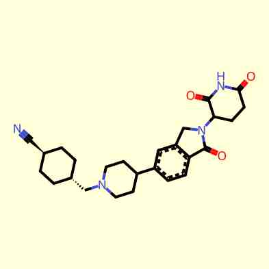 N#C[C@H]1CC[C@H](CN2CCC(c3ccc4c(c3)CN(C3CCC(=O)NC3=O)C4=O)CC2)CC1